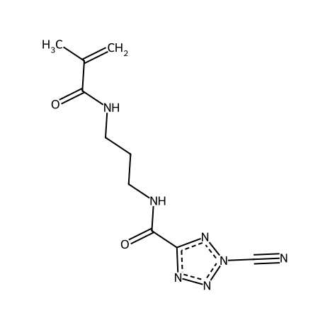 C=C(C)C(=O)NCCCNC(=O)c1nnn(C#N)n1